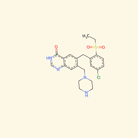 CCS(=O)(=O)c1ccc(Cl)cc1Cc1cc2c(=O)[nH]cnc2cc1CN1CCNCC1